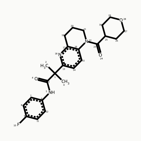 CC(C)(C(=O)Nc1ccc(F)cc1)c1ccc2c(n1)CCCN2C(=O)C1CCOCC1